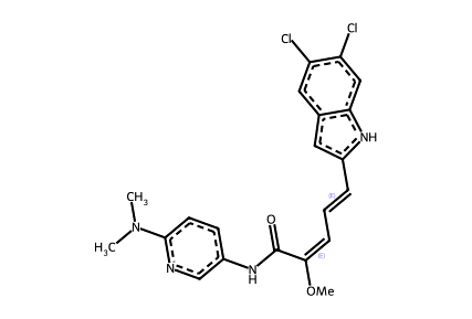 CO/C(=C/C=C/c1cc2cc(Cl)c(Cl)cc2[nH]1)C(=O)Nc1ccc(N(C)C)nc1